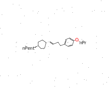 CCCCC[C@H]1CC[C@H](C=CCCc2ccc(OCCC)cc2)CC1